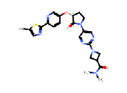 Cc1cnc(-c2ccc(O[C@@H]3CCN(c4cnc(N5CC(C(=O)N(C)C)C5)nc4)C3=O)cn2)s1